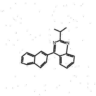 CC(C)c1nc(-c2ccc3ccccc3c2)c2ccccc2n1